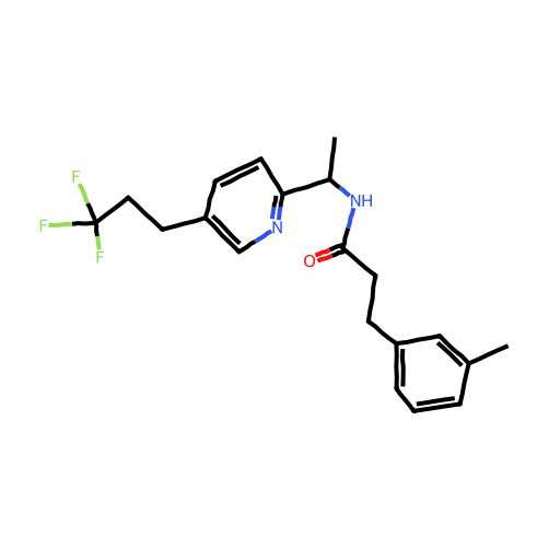 Cc1cccc(CCC(=O)NC(C)c2ccc(CCC(F)(F)F)cn2)c1